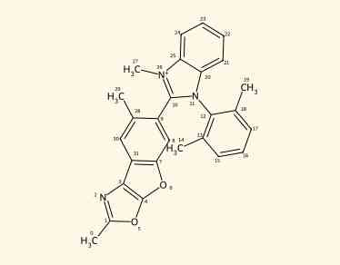 Cc1nc2c(o1)oc1cc(-c3n(-c4c(C)cccc4C)c4ccccc4[n+]3C)c(C)cc12